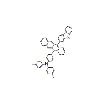 Cc1ccc(N(c2ccc(C)cc2)c2ccc(-c3c4ccccc4c(-c4ccc5c(c4)sc4ccccc45)c4cc5ccccc5cc34)cc2)cc1